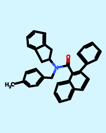 Cc1ccc(CN(C(=O)c2c(-c3ccccc3)ccc3ccccc23)C2Cc3ccccc3C2)cc1